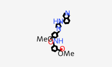 COC(=O)c1cccc(C(=O)Nc2cc(CN3CCC(Nc4cccc5cnccc45)C3)ccc2OC)c1